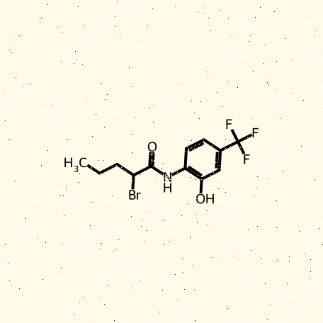 CCCC(Br)C(=O)Nc1ccc(C(F)(F)F)cc1O